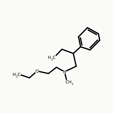 CCOCCN(C)CC(CC)c1ccccc1